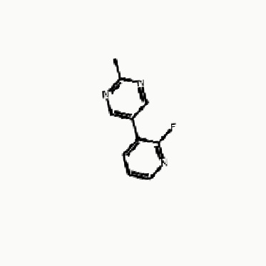 Cc1ncc(-c2cccnc2F)cn1